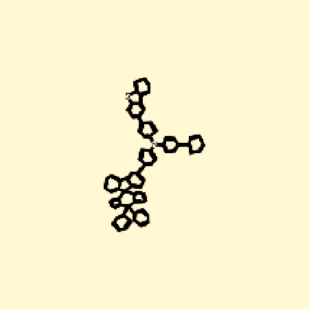 c1ccc(-c2ccc(N(c3ccc(-c4ccc5c(c4)-c4ccccc4C54c5ccccc5C(c5ccccc5)(c5ccccc5)c5ccccc54)cc3)c3ccc(-c4ccc5sc6ccccc6c5c4)cc3)cc2)cc1